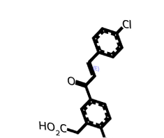 O=C(O)Cc1cc(C(=O)/C=C/c2ccc(Cl)cc2)ccc1O